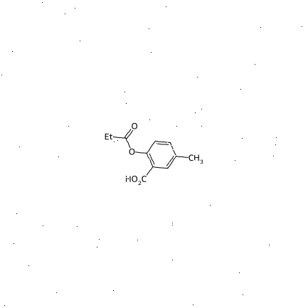 CCC(=O)Oc1ccc(C)cc1C(=O)O